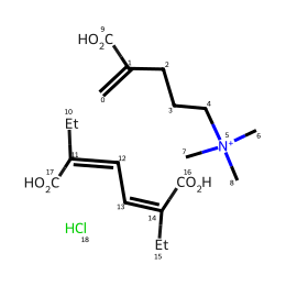 C=C(CCC[N+](C)(C)C)C(=O)O.CCC(=CC=C(CC)C(=O)O)C(=O)O.Cl